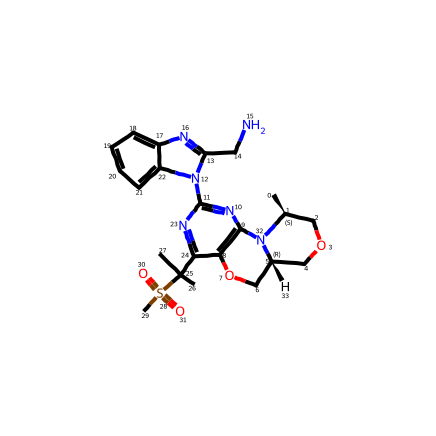 C[C@H]1COC[C@@H]2COc3c(nc(-n4c(CN)nc5ccccc54)nc3C(C)(C)S(C)(=O)=O)N21